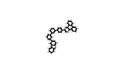 c1cc(-c2ccc(-c3cnc4c5ccccc5c5ccccc5c4n3)cc2)cc(-c2cccc(-c3ccc4sc5ccccc5c4c3)c2)c1